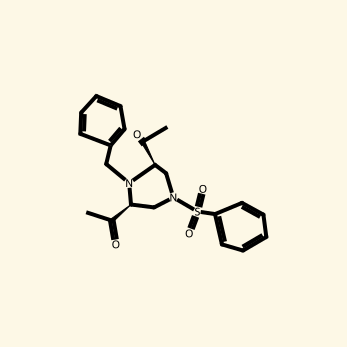 CC(=O)[C@H]1CN(S(=O)(=O)c2ccccc2)C[C@@H](C(C)=O)N1Cc1ccccc1